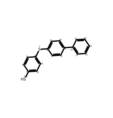 Sc1ccc(Sc2ccc(-c3ccccc3)cc2)cc1